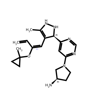 C=C/C(=C\C1=C(C)NN[C@H]1c1cc(N2CC[C@@H](N)C2)ncn1)OC1(C)CC1